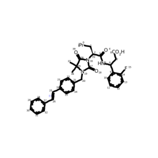 CC(C)C[C@@H](C(=O)NC(CC(=O)O)c1ccccc1F)N1C(=O)N(Cc2ccc(/C=C/c3ccccc3)cc2)C(C)(C)C1=O